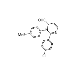 CSc1ccc(N2C(c3ccc(Cl)cc3)=NC=CC2C=O)cc1